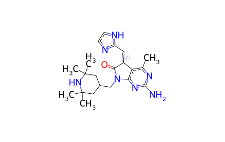 Cc1nc(N)nc2c1/C(=C/c1ncc[nH]1)C(=O)N2CC1CC(C)(C)NC(C)(C)C1